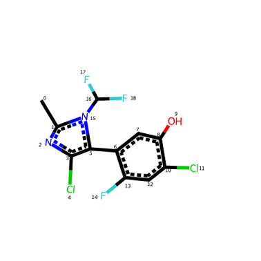 Cc1nc(Cl)c(-c2cc(O)c(Cl)cc2F)n1C(F)F